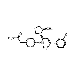 C=C1CCC/C1=C(/C=C(\C)c1cccc(Cl)c1)Nc1ccc(CC(N)=O)cc1